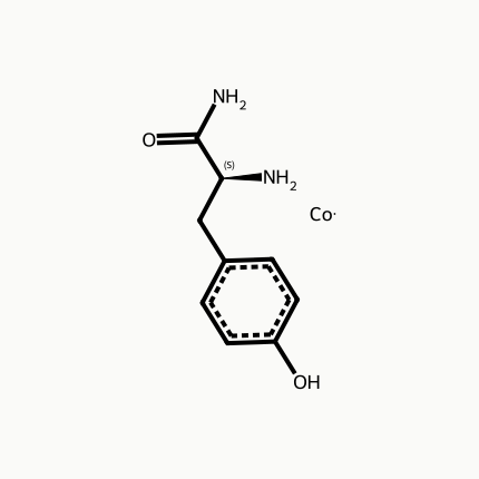 NC(=O)[C@@H](N)Cc1ccc(O)cc1.[Co]